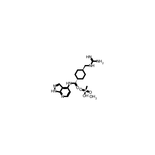 CS(=O)(=O)O.N=C(N)NC[C@H]1CC[C@H](C(=O)Nc2ccnc3[nH]ncc23)CC1.O